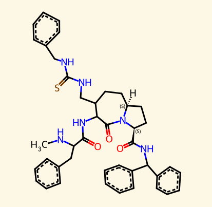 CNC(Cc1ccccc1)C(=O)NC1C(=O)N2[C@@H](CCC1CNC(=S)NCc1ccccc1)CC[C@H]2C(=O)NC(c1ccccc1)c1ccccc1